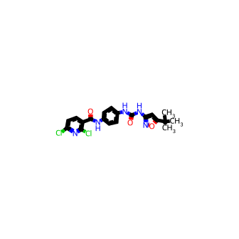 CC(C)(C)c1cc(NC(=O)Nc2ccc(NC(=O)c3ccc(Cl)nc3Cl)cc2)no1